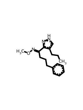 CCCc1c[nH]nc1/C(CCCc1ccccc1)=N/OC